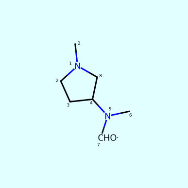 CN1CCC(N(C)[C]=O)C1